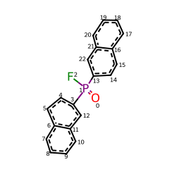 O=P(F)(c1ccc2ccccc2c1)c1ccc2ccccc2c1